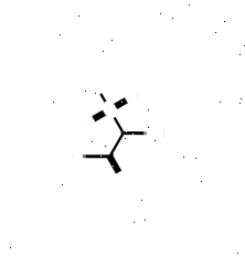 CCS(=O)(=O)C(C)C(=O)Cl